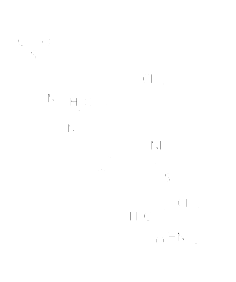 Cc1cc(C)cc(-c2[nH]c3sc(C(C)(C)C(=O)C4C5CCC4NC5)cc3c2C(=O)CCN2CCN(C3CCS(=O)(=O)C3)CC2)c1